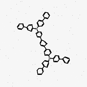 C1=CCCC(c2ccc(N(c3ccc(-c4ccccc4)cc3)c3ccc(-c4ccc(-c5ccc(N(c6ccc(-c7ccccc7)cc6)c6ccc(-c7ccccc7)cc6)cc5)cc4)cc3)cc2)=C1